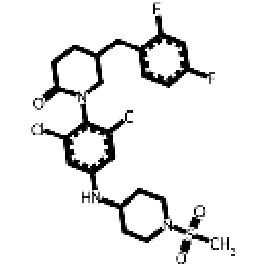 CS(=O)(=O)N1CCC(Nc2cc(Cl)c(N3CC(Cc4ccc(F)cc4F)CCC3=O)c(Cl)c2)CC1